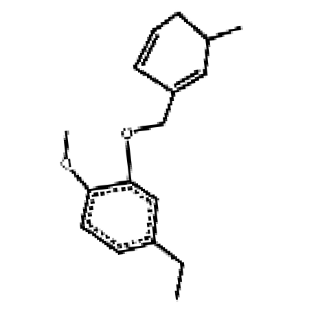 CCc1ccc(OC)c(OCC2=CC(C)CC=C2)c1